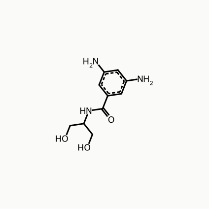 Nc1cc(N)cc(C(=O)NC(CO)CO)c1